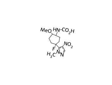 COC1CCC(F)(c2c([N+](=O)[O-])cnn2C)CCC1NC(=O)O